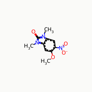 COc1cc2c(cc1[N+](=O)[O-])n(C)c(=O)n2C